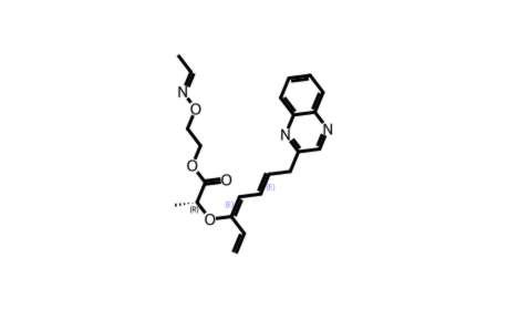 C=C/C(=C\C=C\Cc1cnc2ccccc2n1)O[C@H](C)C(=O)OCCON=CC